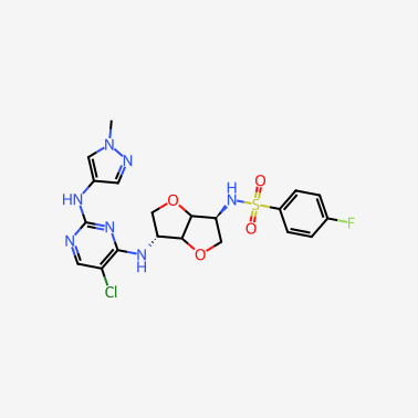 Cn1cc(Nc2ncc(Cl)c(N[C@@H]3COC4C3OC[C@@H]4NS(=O)(=O)c3ccc(F)cc3)n2)cn1